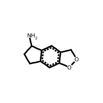 NC1CCc2cc3c(cc21)COO3